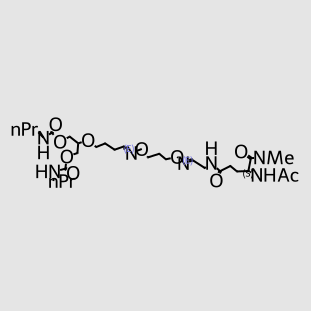 CCCNC(=O)OCC(COC(=O)NCCC)OCCC/C=N/OCCCO/N=C/CNC(=O)CC[C@H](NC(C)=O)C(=O)NC